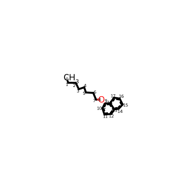 CCCCCCCCOc1[c]ccc2ccccc12